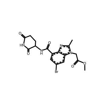 COC(=O)Cn1c(C)nc2c(C(=O)NC3CCC(=O)NC3=O)cc(Br)cc21